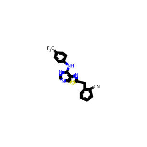 N#Cc1ccccc1Cc1nc2c(Nc3ccc(C(F)(F)F)cc3)ncnc2s1